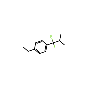 CCc1ccc(C(F)(F)C(C)C)cc1